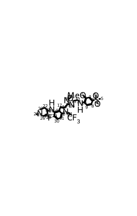 COc1cc(S(C)(=O)=O)ccc1NCc1nc(-c2cc3c(N[C@H]4CCN(C)C[C@H]4F)cccc3n2CC(F)(F)F)no1